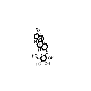 CO[C@H]1CC[C@H]2[C@@H]3CC[C@@H]4C[C@H](O[C@H]5O[C@H](CO)[C@@H](O)[C@H](O)[C@H]5O)CC[C@]4(C)[C@H]3CC[C@]12C